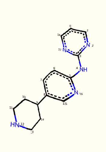 c1cnc(Nc2ccc(C3CCNCC3)cn2)nc1